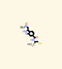 CC(C)(C)/[N+]([O-])=C\c1[nH]nc2cc(C(=O)NC(CS)C(=O)O)ccc12